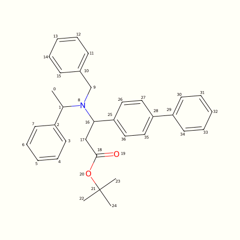 CC(c1ccccc1)N(Cc1ccccc1)C(CC(=O)OC(C)(C)C)c1ccc(-c2ccccc2)cc1